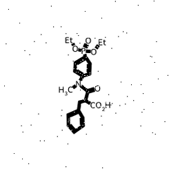 CCOP(=O)(OCC)c1ccc(N(C)C(=O)C(Cc2ccccc2)C(=O)O)cc1